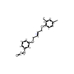 Cc1ccc(OC/C=C/COc2cccc(N=C=O)c2)c(C)c1